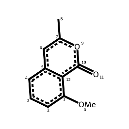 COc1cccc2cc(C)oc(=O)c12